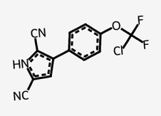 N#Cc1cc(-c2ccc(OC(F)(F)Cl)cc2)c(C#N)[nH]1